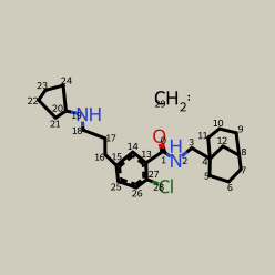 O=C(NCC12CCCC(CCC1)C2)c1cc(CCCNC2CCCC2)ccc1Cl.[CH2]